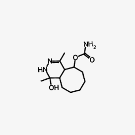 CC1=NNC(C)(O)C2CCCCCC(OC(N)=O)C12